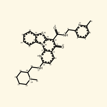 Cc1cccc(CNC(=O)c2c(=O)c3ccc(NCC4CCCCN4C)nc3n3c2sc2ccccc23)n1